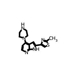 Cc1nc(-c2cc3c(N4CCNCC4)ccnc3[nH]2)cs1